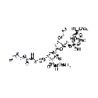 C=CCOC1C[C@H](n2cc(C#CCNC(=O)OC/C=C\C)c3c(=O)[nH]c(N)nc32)O[C@@H]1COP(=O)(O)OP(=O)(O)OP(=O)(O)OC